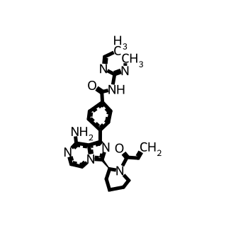 C=CC(=O)N1CCCC[C@H]1c1nc(-c2ccc(C(=O)NC(/N=C\C)=N/C)cc2)c2c(N)nccn12